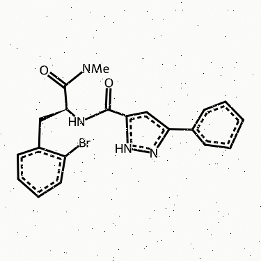 CNC(=O)[C@H](Cc1ccccc1Br)NC(=O)c1cc(-c2ccccc2)n[nH]1